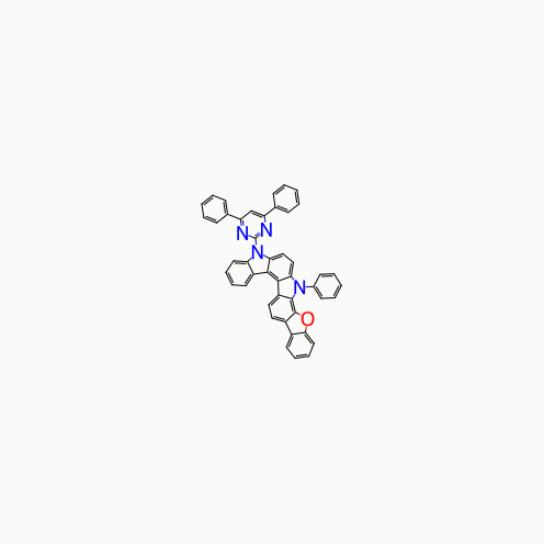 c1ccc(-c2cc(-c3ccccc3)nc(-n3c4ccccc4c4c5c6ccc7c8ccccc8oc7c6n(-c6ccccc6)c5ccc43)n2)cc1